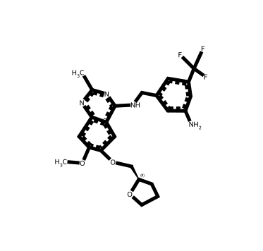 COc1cc2nc(C)nc(NCc3cc(N)cc(C(F)(F)F)c3)c2cc1OC[C@H]1CCCO1